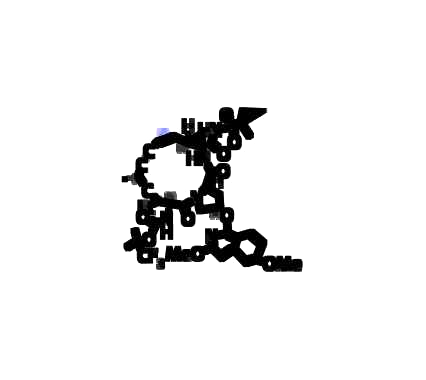 CC[C@@H]1C[C@H](C)CC/C=C\[C@@H]2C[C@@]2(C(=O)NS(=O)(=O)C2(C)CC2)NC(=O)[C@@H]2C[C@@H](Oc3nc(OC)cc4cc(OC)ccc34)CN2C(=O)[C@H]1NC(=O)OC(C)(C)C(F)(F)F